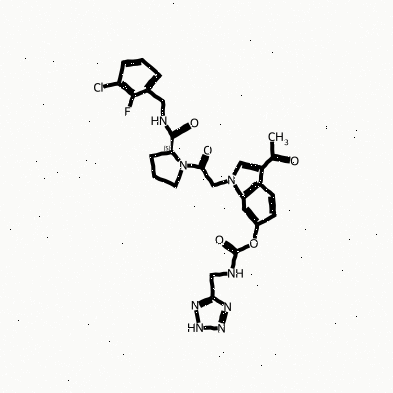 CC(=O)c1cn(CC(=O)N2CCC[C@H]2C(=O)NCc2cccc(Cl)c2F)c2cc(OC(=O)NCc3nn[nH]n3)ccc12